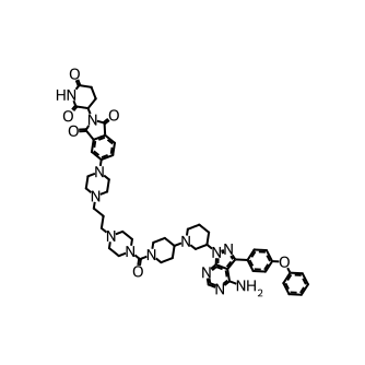 Nc1ncnc2c1c(-c1ccc(Oc3ccccc3)cc1)nn2C1CCCN(C2CCN(C(=O)N3CCN(CCCN4CCN(c5ccc6c(c5)C(=O)N(C5CCC(=O)NC5=O)C6=O)CC4)CC3)CC2)C1